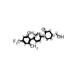 Cc1cc(C(F)(F)F)cc(O)c1-c1ccc(N2CC[C@@H](CO)CC2=O)nn1